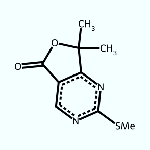 CSc1ncc2c(n1)C(C)(C)OC2=O